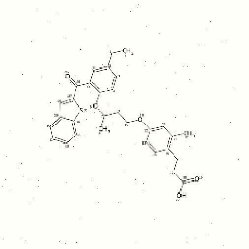 CCc1ccc(OC(C)CCOc2ccc(CCC(=O)O)c(C)c2)c(C(=O)c2cc3ccccc3s2)c1